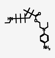 CCNC(C)(C)C(C)(C)C(C)(C)CC(C)(C(=O)OCCN(CC)c1ccc(N)cc1)C(C)(C)C